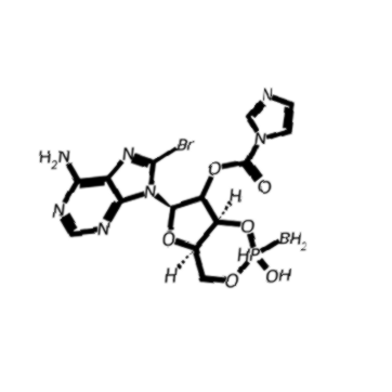 B[PH]1(O)OC[C@H]2O[C@@H](n3c(Br)nc4c(N)ncnc43)C(OC(=O)n3ccnc3)[C@H]2O1